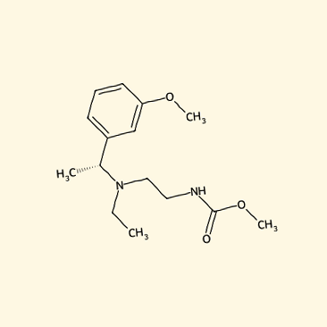 CCN(CCNC(=O)OC)[C@H](C)c1cccc(OC)c1